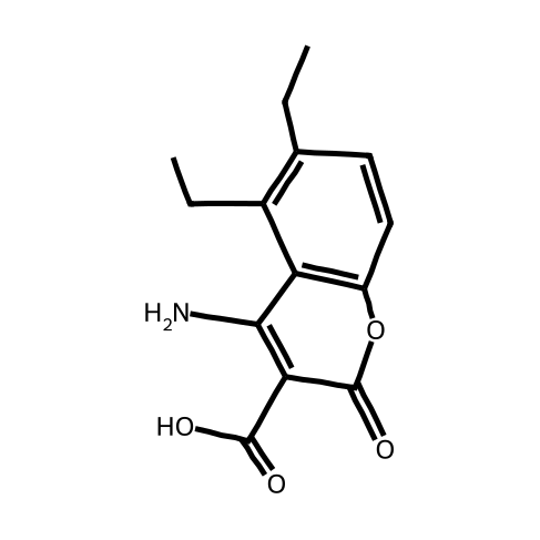 CCc1ccc2oc(=O)c(C(=O)O)c(N)c2c1CC